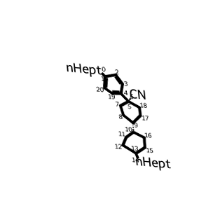 CCCCCCCc1ccc([C@]2(C#N)CC[C@@H](C3CCC(CCCCCCC)CC3)CC2)cc1